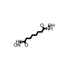 O=NNC(=O)CCCCCCC(=O)NO